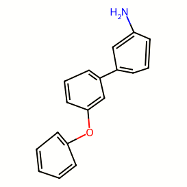 Nc1cccc(-c2cccc(Oc3ccccc3)c2)c1